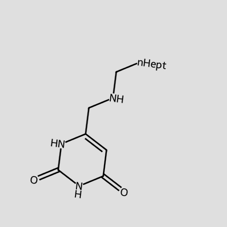 CCCCCCCCNCc1cc(=O)[nH]c(=O)[nH]1